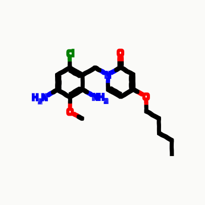 CCCCCOc1ccn(Cc2c(Cl)cc(N)c(OC)c2N)c(=O)c1